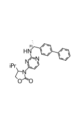 CC(C)C1COC(=O)N1c1ccnc(N[C@H](C)c2ccc(-c3ccccc3)cc2)n1